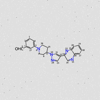 O=Cc1cccc(N2CCC(n3cc(-c4cnc5ccccc5n4)cn3)CC2)c1